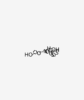 O=C(O[C@H]1C[N+]2(CCCOc3cccc(CO)c3)CCC1CC2)C(O)(c1cccs1)c1cccs1